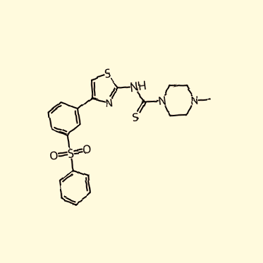 CN1CCN(C(=S)Nc2nc(-c3cccc(S(=O)(=O)c4ccccc4)c3)cs2)CC1